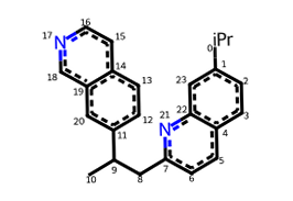 CC(C)c1ccc2ccc(CC(C)c3ccc4ccncc4c3)nc2c1